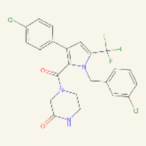 O=C1CN(C(=O)c2c(-c3ccc(Cl)cc3)cc(C(F)(F)F)n2Cc2cccc(Cl)c2)CCN1